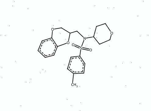 Cc1ccc(S(=O)(=O)N(CC2COc3ccccc3O2)C2CCOCC2)cc1